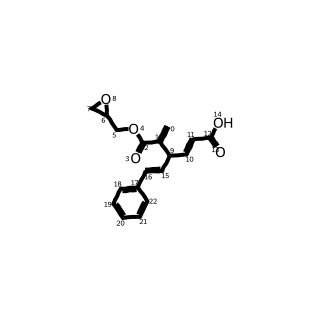 C=C(C(=O)OCC1CO1)C(C=CC(=O)O)C=Cc1ccccc1